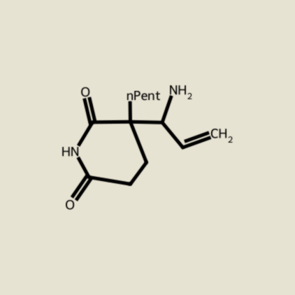 C=CC(N)C1(CCCCC)CCC(=O)NC1=O